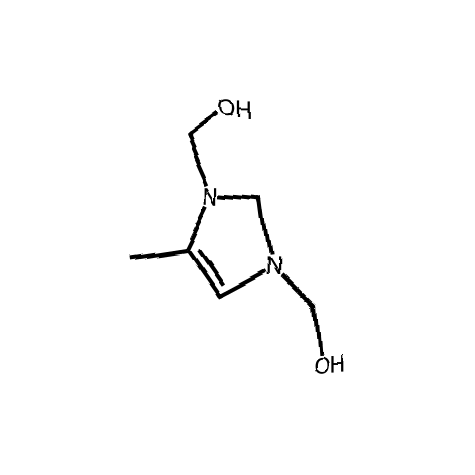 CC1=CN(CO)CN1CO